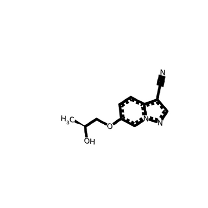 C[C@H](O)COc1ccc2c(C#N)cnn2c1